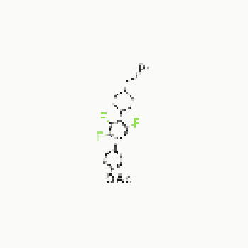 CC(=O)Oc1ccc(-c2cc(F)c(C3CCC(CCC(C)C)CC3)c(F)c2F)cc1